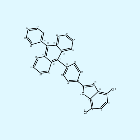 Clc1ccc(Cl)c2oc(-c3ccc(-c4c5ccccc5c(-c5ccccc5)c5ccccc45)cc3)nc12